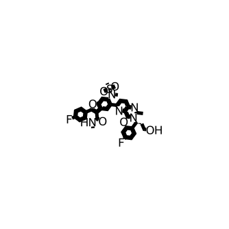 CNC(=O)c1c(-c2ccc(F)cc2)oc2cc(N(C)S(C)(=O)=O)c(-c3ccc4nc(C)n([C@H](CCO)c5ccc(F)cc5)c(=O)c4n3)cc12